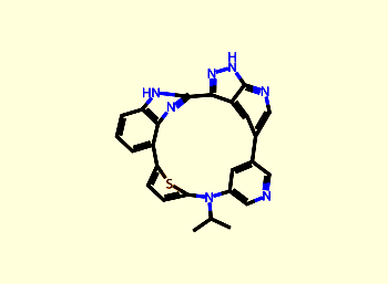 CC(C)n1c2cncc(c2)c2cnc3[nH]nc(c4nc5c(cccc5c5ccc1s5)[nH]4)c3c2